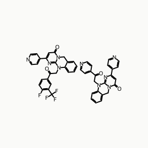 O=C(CN1c2ccccc2Cn2c1nc(-c1ccncc1)cc2=O)c1ccc(F)c(C(F)(F)F)c1.O=C(CN1c2ccccc2Cn2c1nc(-c1ccncc1)cc2=O)c1ccncc1